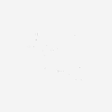 O=S(=O)(O)C(F)(F)C(F)(F)COCc1c(C2CCCCC2)cc(C2CCCCC2)c(O)c1C1CCCCC1